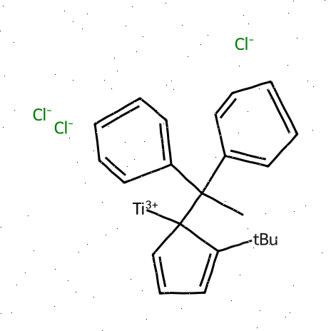 CC(C)(C)C1=CC=C[C]1([Ti+3])C(C)(c1ccccc1)c1ccccc1.[Cl-].[Cl-].[Cl-]